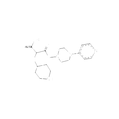 CC(=O)C(OC1CCNCC1)C(=O)ON1CCN(c2ccncc2)CC1